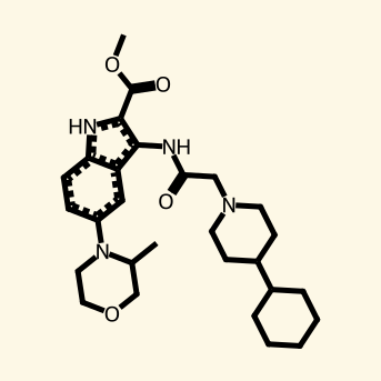 COC(=O)c1[nH]c2ccc(N3CCOCC3C)cc2c1NC(=O)CN1CCC(C2CCCCC2)CC1